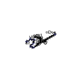 CC/C=C\C/C=C\C/C=C\C/C=C\C/C=C\C/C=C\CCC(=O)O[C@H](COC(=O)CCCCCCCCC/C=C\CCCCCCCCCC)COP(=O)(O)OC[C@@H](O)CO